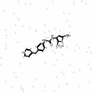 CC(C)(C)c1cc(NC(=O)Nc2ccc(Cc3ccncc3)cc2)c(C(=O)O)s1